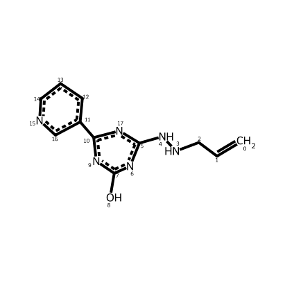 C=CCNNc1nc(O)nc(-c2cccnc2)n1